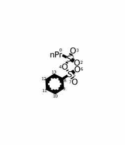 CCCS(=O)(=O)OS(=O)(=O)c1ccccc1